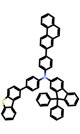 c1ccc(C2(c3ccccc3)c3ccccc3-c3ccc(N(c4ccc(-c5ccc6c(ccc7ccccc76)c5)cc4)c4ccc(-c5ccc6sc7ccccc7c6c5)cc4)cc32)cc1